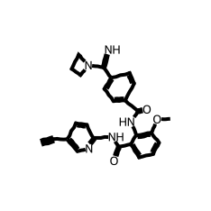 C#Cc1ccc(NC(=O)c2cccc(OC)c2NC(=O)c2ccc(C(=N)N3CCC3)cc2)nc1